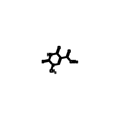 COC(=O)c1cn(C)c(=S)[nH]c1=O